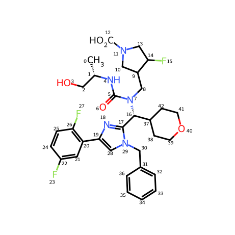 C[C@@H](CO)NC(=O)N(CC1CN(C(=O)O)CC1F)[C@@H](c1nc(-c2cc(F)ccc2F)cn1Cc1ccccc1)C1CCOCC1